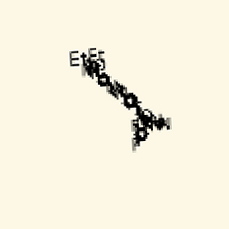 CCC(CC)n1ncn(-c2ccc(N3CCN(c4ccc(SCC5OCC(Cn6cncn6)(c6ccc(F)cc6F)O5)cc4)CC3)cc2)c1=O